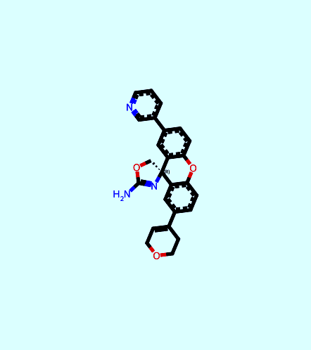 NC1=N[C@]2(CO1)c1cc(C3=CCOCC3)ccc1Oc1ccc(-c3cccnc3)cc12